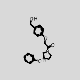 O=C(COc1ccc(CO)cc1)N1CC[C@H](Oc2ccccc2)C1